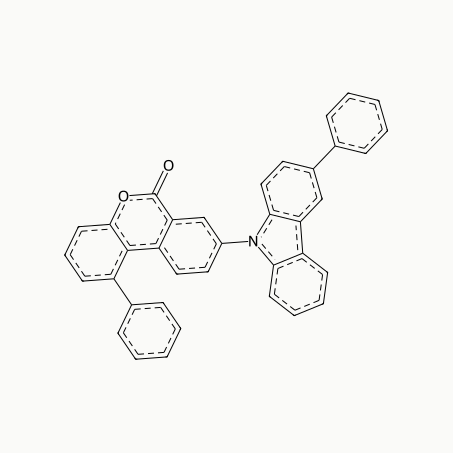 O=c1oc2cccc(-c3ccccc3)c2c2ccc(-n3c4ccccc4c4cc(-c5ccccc5)ccc43)cc12